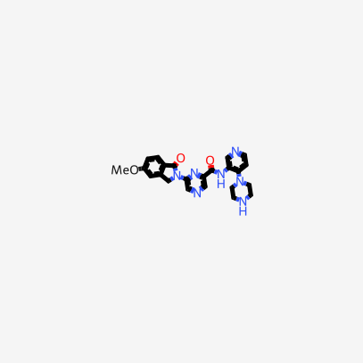 COc1ccc2c(c1)CN(c1cncc(C(=O)Nc3cnccc3N3CCNCC3)n1)C2=O